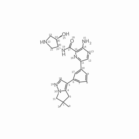 CC1(C)Cc2c(-c3cccc(-c4cnc(N)c(C(=O)N[C@@H]5CNC[C@H]5O)n4)c3)cnn2C1